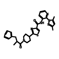 Cc1cc(C)n(-c2ncccc2NC(=O)c2csc(C3CCN(C(=O)C(C)Cc4ccccc4)CC3)n2)n1